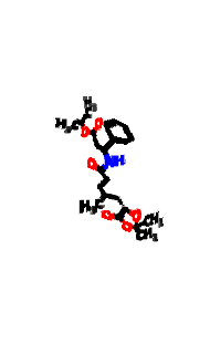 CC(CCC(=O)NC(CC(=O)OC(C)C)c1ccccc1)C[C@@H]1OC(C)(C)OC1=O